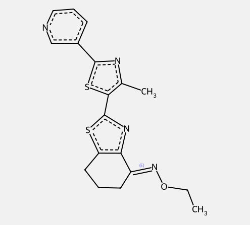 CCO/N=C1\CCCc2sc(-c3sc(-c4cccnc4)nc3C)nc21